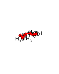 CC(C)(F)CN1CCc2c([nH]c3ccccc23)[C@H]1c1cnc(N2CCC(CCCN3C[C@H]4C[C@@H]3CN4c3ccc4c(c3)CN(C3CCC(=O)NC3=O)C4=O)CC2)nc1